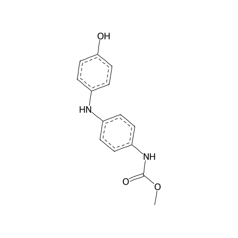 COC(=O)Nc1ccc(Nc2ccc(O)cc2)cc1